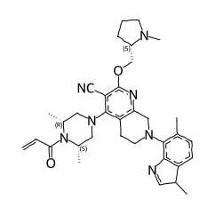 C=CC(=O)N1[C@H](C)CN(c2c(C#N)c(OC[C@@H]3CCCN3C)nc3c2CCN(c2c(C)ccc4c2N=CC4C)C3)C[C@@H]1C